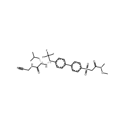 CON(C)C(=O)CS(=O)(=O)c1ccc(-c2ccc([C@H](N[C@@H](CC(C)C)C(=O)NCC#N)C(F)(F)F)cc2)cc1